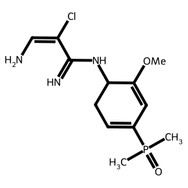 COC1=CC(P(C)(C)=O)=CCC1NC(=N)/C(Cl)=C\N